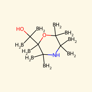 BC(B)(O)C1(B)OC(B)(B)C(B)(B)NC1(B)B